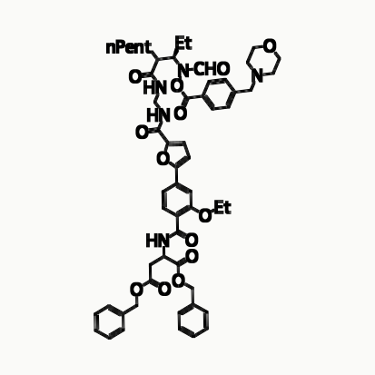 CCCCCC(C(=O)NCNC(=O)c1ccc(-c2ccc(C(=O)NC(CC(=O)OCc3ccccc3)C(=O)OCc3ccccc3)c(OCC)c2)o1)[C@@H](CC)N(C=O)OC(=O)c1ccc(CN2CCOCC2)cc1